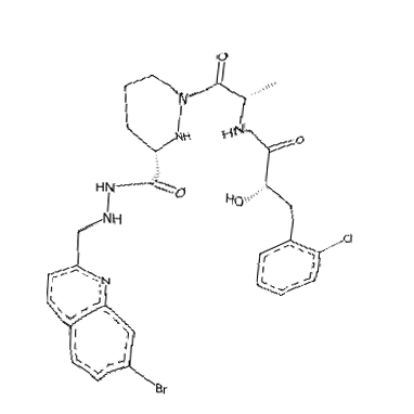 C[C@H](NC(=O)[C@@H](O)Cc1ccccc1Cl)C(=O)N1CCC[C@@H](C(=O)NNCc2ccc3ccc(Br)cc3n2)N1